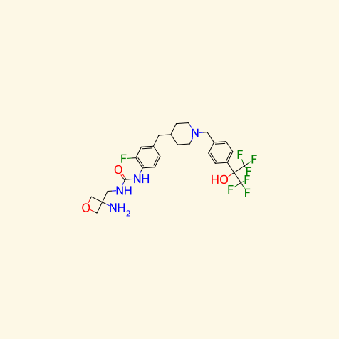 NC1(CNC(=O)Nc2ccc(CC3CCN(Cc4ccc(C(O)(C(F)(F)F)C(F)(F)F)cc4)CC3)cc2F)COC1